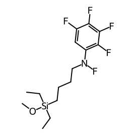 CC[Si](CC)(CCCCN(F)c1cc(F)c(F)c(F)c1F)OC